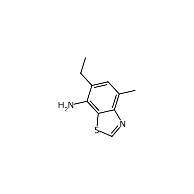 CCc1cc(C)c2ncsc2c1N